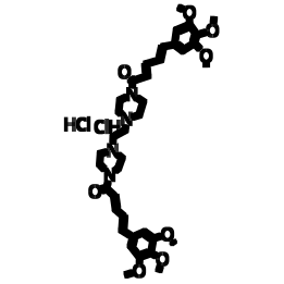 COc1cc(/C=C/C=C/C(=O)N2CCN(CCN3CCN(C(=O)/C=C/C=C/c4cc(OC)c(OC)c(OC)c4)CC3)CC2)cc(OC)c1OC.Cl.Cl